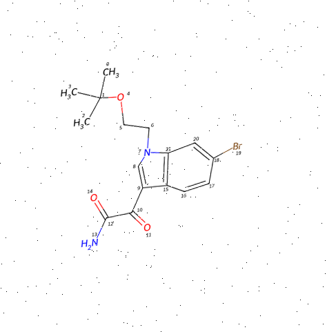 CC(C)(C)OCCn1cc(C(=O)C(N)=O)c2ccc(Br)cc21